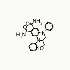 NC(=O)c1cc2c(cc1C(N)=O)N(c1ccccc1)C(CO)CN2c1ccccc1